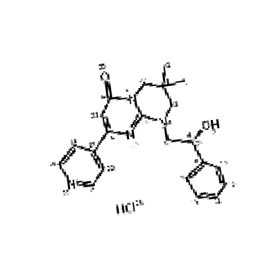 CC1(C)CN(C[C@@H](O)c2ccccc2)c2nc(-c3ccncc3)cc(=O)n2C1.Cl